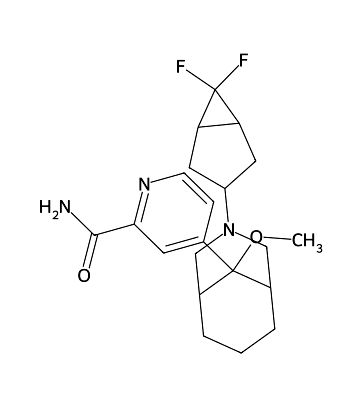 COC1(c2ccnc(C(N)=O)c2)C2CCCC1CN(C1CC3C(C1)C3(F)F)C2